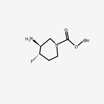 CC(C)(C)OC(=O)N1CC[C@H](F)[C@@H](N)C1